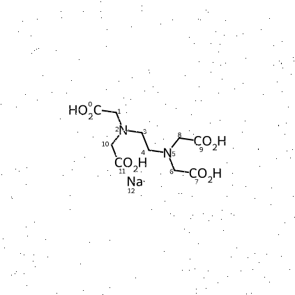 O=C(O)CN(CCN(CC(=O)O)CC(=O)O)CC(=O)O.[Na]